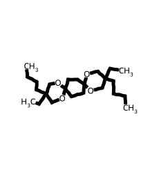 CCCCC1(CC)COC2(CCC3(CC2)OCC(CC)(CCCC)CO3)OC1